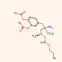 CCC(=O)Oc1ccc(CC(N)(C[C@H](C)OC(=O)OCCC(C)C)C(=O)O)cc1OC(=O)CC